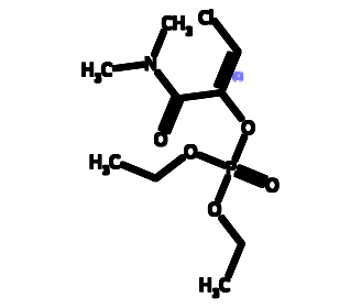 CCOP(=O)(OCC)O/C(=C/Cl)C(=O)N(C)C